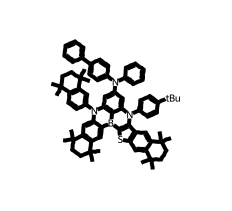 CC(C)(C)c1ccc(N2c3cc(N(c4ccccc4)c4ccc(-c5ccccc5)cc4)cc4c3B(c3cc5c(cc3N4c3ccc4c(c3)C(C)(C)CCC4(C)C)C(C)(C)CCC5(C)C)c3sc4cc5c(cc4c32)C(C)(C)CCC5(C)C)cc1